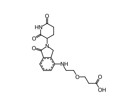 O=C(O)CCOCCNc1cccc2c1CN(C1CCC(=O)NC1=O)C2=O